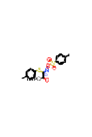 COC(=O)/C(=N/OS(=O)(=O)c1ccc(C)cc1)Sc1ccc(C)cc1